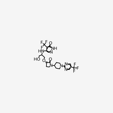 O=C1[C@H](OCC(CO)Nc2cn[nH]c(=O)c2C(F)(F)F)CCN1C1CCN(c2ncc(C(F)(F)F)cn2)CC1